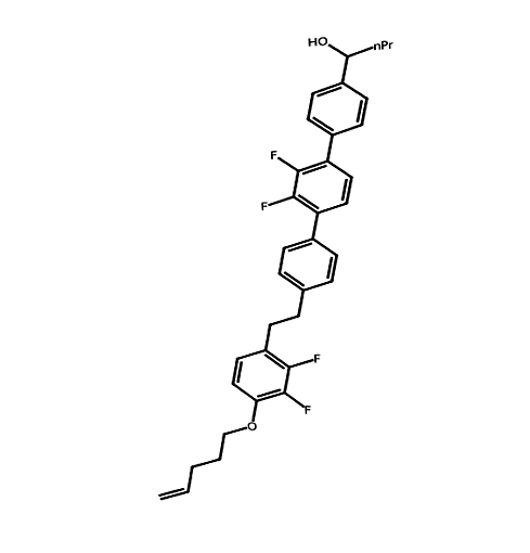 C=CCCCOc1ccc(CCc2ccc(-c3ccc(-c4ccc(C(O)CCC)cc4)c(F)c3F)cc2)c(F)c1F